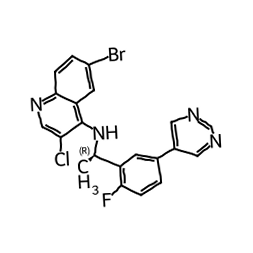 C[C@@H](Nc1c(Cl)cnc2ccc(Br)cc12)c1cc(-c2cncnc2)ccc1F